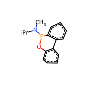 CC(C)N(C)P1Oc2ccccc2-c2ccccc21